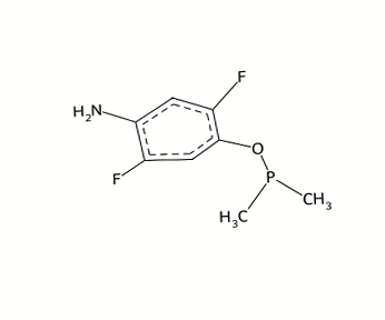 CP(C)Oc1cc(F)c(N)cc1F